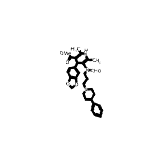 COC(=O)C1=C(C)NC(C)=C(N(C=O)CCCN2CCC(c3ccccc3)CC2)C1c1ccc2c(c1)OCO2